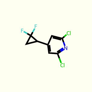 FC1(F)CC1c1cc(Cl)nc(Cl)c1